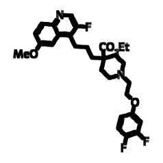 CCOC(=O)C1(CCCc2c(F)cnc3ccc(OC)cc23)CCN(CCOc2ccc(F)c(F)c2)CC1